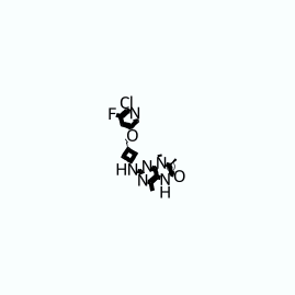 Cc1nc(N[C@H]2C[C@@H](COc3cnc(Cl)c(F)c3)C2)nc2c1NC(=O)[C@H](C)N2C